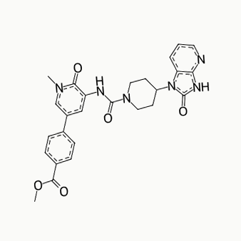 COC(=O)c1ccc(-c2cc(NC(=O)N3CCC(n4c(=O)[nH]c5ncccc54)CC3)c(=O)n(C)c2)cc1